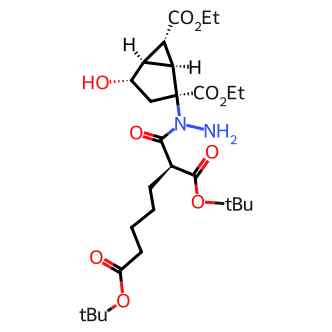 CCOC(=O)[C@H]1[C@H]2[C@@H]1[C@@](C(=O)OCC)(N(N)C(=O)[C@H](CCCCC(=O)OC(C)(C)C)C(=O)OC(C)(C)C)C[C@@H]2O